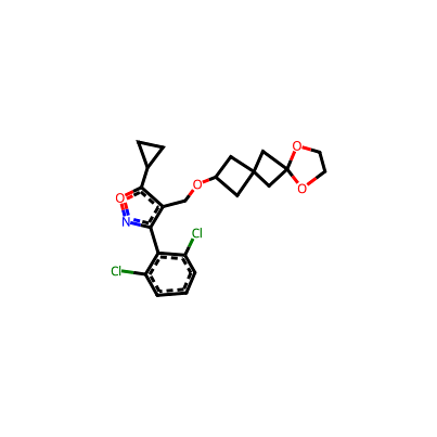 Clc1cccc(Cl)c1-c1noc(C2CC2)c1COC1CC2(C1)CC1(C2)OCCO1